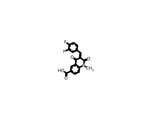 CN1C(=O)/C(=C/c2ccc(F)c(F)c2)C(=O)c2cc(C(=O)O)ccc21